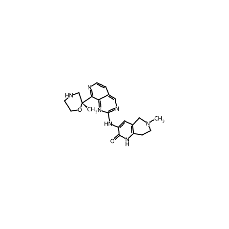 CN1CCc2[nH]c(=O)c(Nc3ncc4ccnc([C@@]5(C)CNCCO5)c4n3)cc2C1